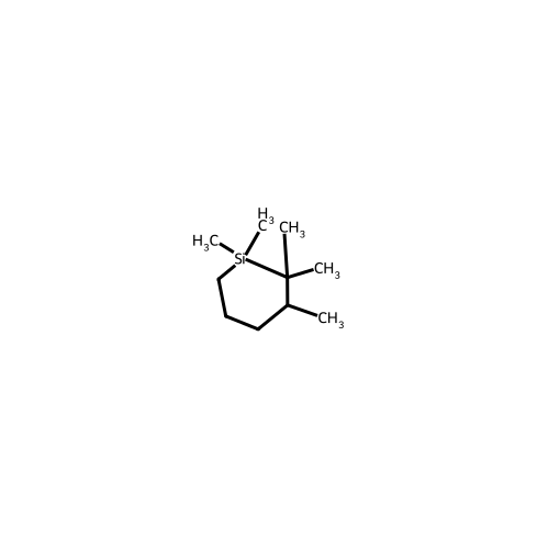 CC1CCC[Si](C)(C)C1(C)C